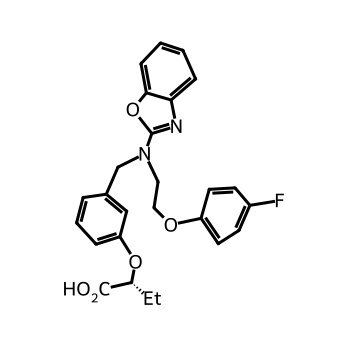 CC[C@@H](Oc1cccc(CN(CCOc2ccc(F)cc2)c2nc3ccccc3o2)c1)C(=O)O